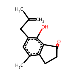 C=C(C)Cc1cc(C)c2c(c1O)C(=O)CC2